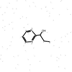 [CH2]CC(O)c1ncccn1